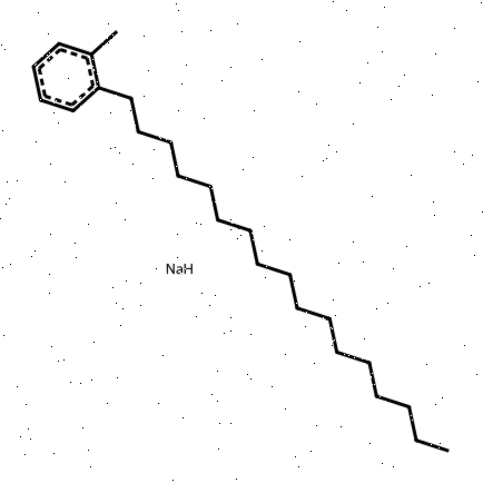 CCCCCCCCCCCCCCCCCc1ccccc1C.[NaH]